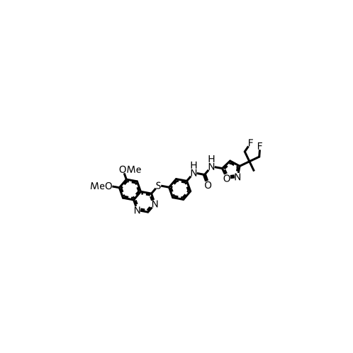 COc1cc2ncnc(Sc3cccc(NC(=O)Nc4cc(C(C)(CF)CF)no4)c3)c2cc1OC